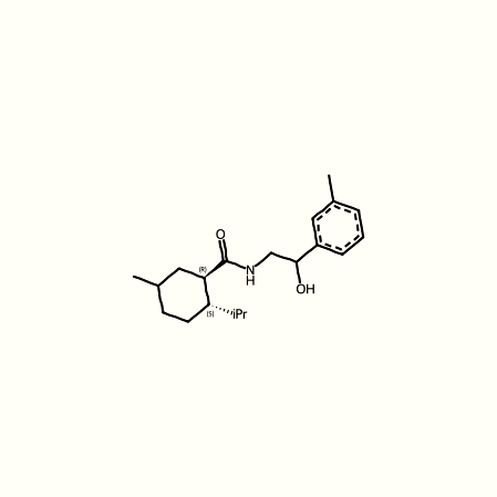 Cc1cccc(C(O)CNC(=O)[C@@H]2CC(C)CC[C@H]2C(C)C)c1